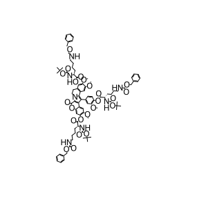 COc1cc(-c2c3n(c4c(=O)oc5cc(OC(=O)[C@H](CCCCNC(=O)OCc6ccccc6)NC(=O)OC(C)(C)C)c(OC)cc5c24)CCc2c-3cc(OC)c(OC)c2OC(=O)[C@H](CCCCNCOCc2ccccc2)NC(=O)OC(C)(C)C)ccc1OC(=O)[C@H](CCCCNC(=O)OCc1ccccc1)NC(=O)OC(C)(C)C